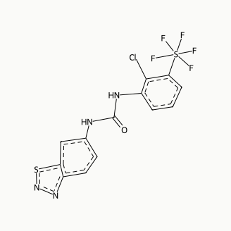 O=C(Nc1ccc2nnsc2c1)Nc1cccc(S(F)(F)(F)(F)F)c1Cl